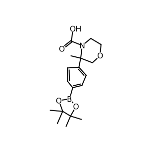 CC1(c2ccc(B3OC(C)(C)C(C)(C)O3)cc2)COCCN1C(=O)O